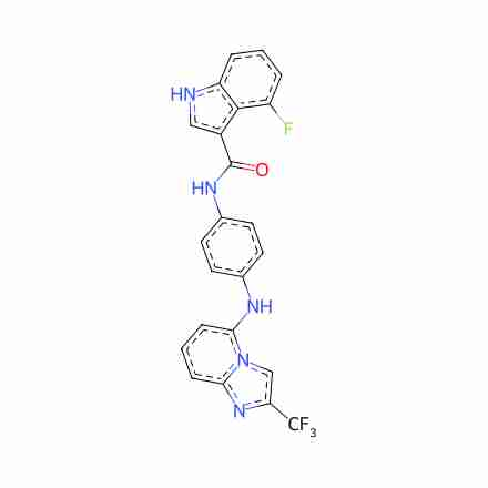 O=C(Nc1ccc(Nc2cccc3nc(C(F)(F)F)cn23)cc1)c1c[nH]c2cccc(F)c12